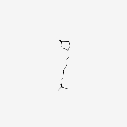 CC(C)=NOCCNC[C@H]1CCC(=O)N1